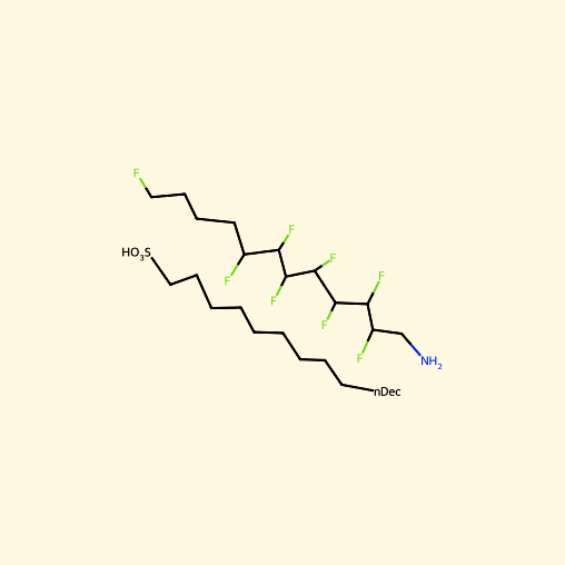 CCCCCCCCCCCCCCCCCCCS(=O)(=O)O.NCC(F)C(F)C(F)C(F)C(F)C(F)C(F)CCCCF